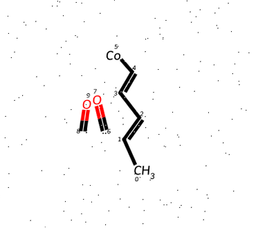 CC=CC=[CH][Co].[C]=O.[C]=O